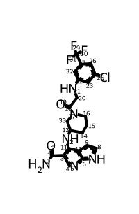 NC(=O)c1cnc2[nH]ccc2c1NC1CCCN(C(=O)CNc2cc(Cl)cc(C(F)(F)F)c2)C1